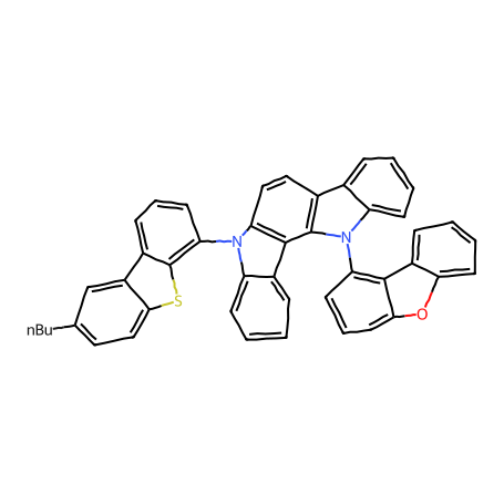 CCCCc1ccc2sc3c(-n4c5ccccc5c5c4ccc4c6ccccc6n(-c6cccc7oc8ccccc8c67)c45)cccc3c2c1